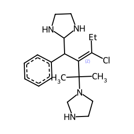 CC/C(Cl)=C(\C(c1ccccc1)C1NCCN1)C(C)(C)N1CCNC1